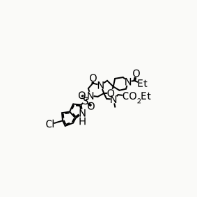 CCOC(=O)CN(C)CC12CN(S(=O)(=O)c3cc4cc(Cl)ccc4[nH]3)CC(=O)N1CC1(CCN(C(=O)CC)CC1)O2